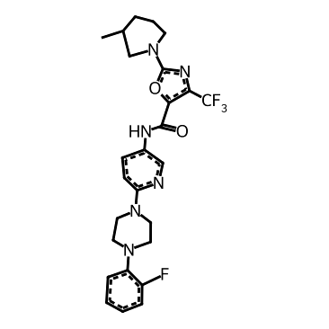 CC1CCCN(c2nc(C(F)(F)F)c(C(=O)Nc3ccc(N4CCN(c5ccccc5F)CC4)nc3)o2)C1